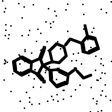 CCOc1cccc(C2(N3CCN(Cc4ccccc4C)CC3)C(=O)c3ccccc3C2=O)n1